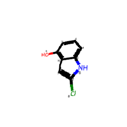 Oc1cccc2[nH]c(Cl)cc12